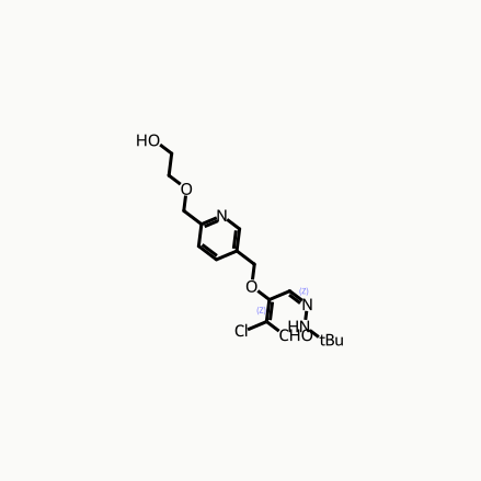 CC(C)(C)N/N=C\C(OCc1ccc(COCCO)nc1)=C(\Cl)C=O